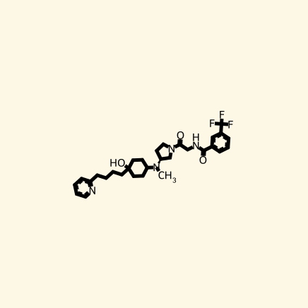 CN(C1CCC(O)(CCCCc2ccccn2)CC1)[C@H]1CCN(C(=O)CNC(=O)c2cccc(C(F)(F)F)c2)C1